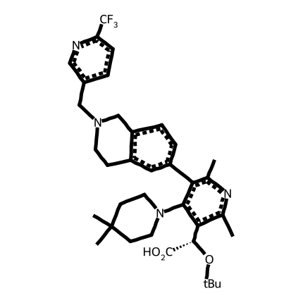 Cc1nc(C)c([C@H](OC(C)(C)C)C(=O)O)c(N2CCC(C)(C)CC2)c1-c1ccc2c(c1)CCN(Cc1ccc(C(F)(F)F)nc1)C2